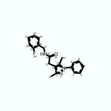 Cc1nn(-c2ccccc2)c(C)c1CC(=O)NCc1ccccc1F